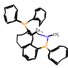 C[C@H](C1=C(P(c2ccccc2)c2ccccc2)CCCC1)N(C)P(c1ccccc1)c1ccccc1